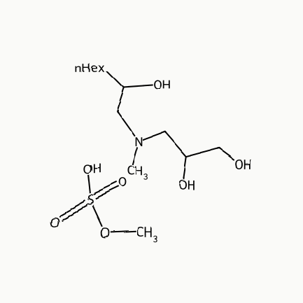 CCCCCCC(O)CN(C)CC(O)CO.COS(=O)(=O)O